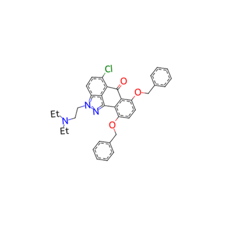 CCN(CC)CCn1nc2c3c(c(Cl)ccc31)C(=O)c1c(OCc3ccccc3)ccc(OCc3ccccc3)c1-2